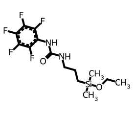 CCO[Si](C)(C)CCCNC(=O)Nc1c(F)c(F)c(F)c(F)c1F